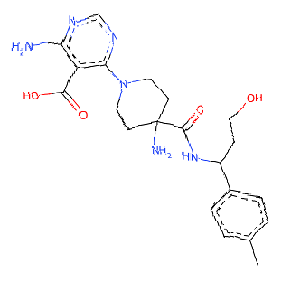 Cc1ccc(C(CCO)NC(=O)C2(N)CCN(c3ncnc(N)c3C(=O)O)CC2)cc1